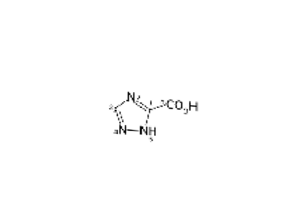 O=C(O)c1n[c]n[nH]1